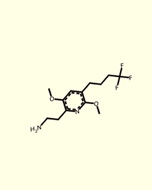 COc1cc(CCCC(F)(F)F)c(OC)nc1CCN